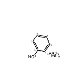 I.Oc1ccccc1.[AlH3]